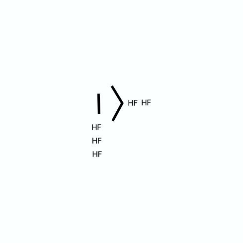 CC.CCC.F.F.F.F.F